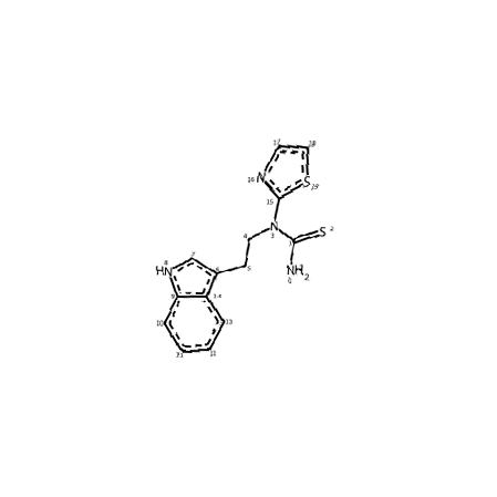 NC(=S)N(CCc1c[nH]c2ccccc12)c1nccs1